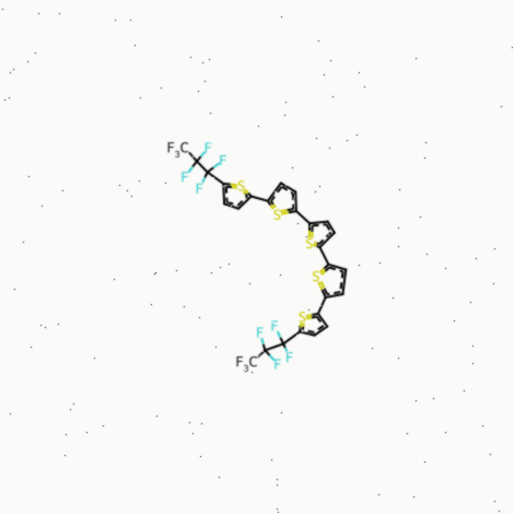 FC(F)(F)C(F)(F)C(F)(F)c1ccc(-c2ccc(-c3ccc(-c4ccc(-c5ccc(C(F)(F)C(F)(F)C(F)(F)F)s5)s4)s3)s2)s1